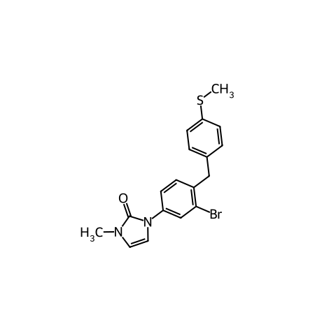 CSc1ccc(Cc2ccc(-n3ccn(C)c3=O)cc2Br)cc1